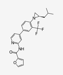 CC(C)C[C@@H]1CN1c1ccc(-c2ccnc(NC(=O)c3ccco3)c2)cc1C(F)(F)F